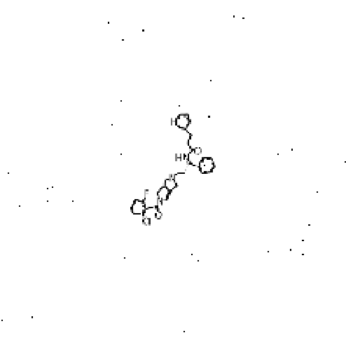 O=C(CCc1cccnc1)N[C@@H](CCN1CC2=CN(C(=O)c3c(F)cccc3Cl)CC2C1)c1ccccc1